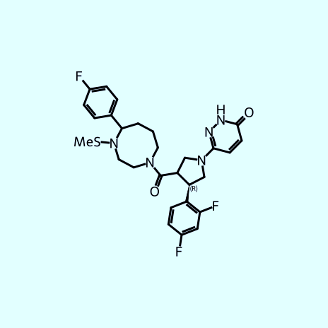 CSN1CCN(C(=O)C2CN(c3ccc(=O)[nH]n3)C[C@H]2c2ccc(F)cc2F)CCCC1c1ccc(F)cc1